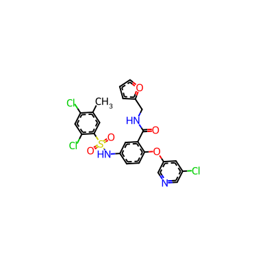 Cc1cc(S(=O)(=O)Nc2ccc(Oc3cncc(Cl)c3)c(C(=O)NCc3ccco3)c2)c(Cl)cc1Cl